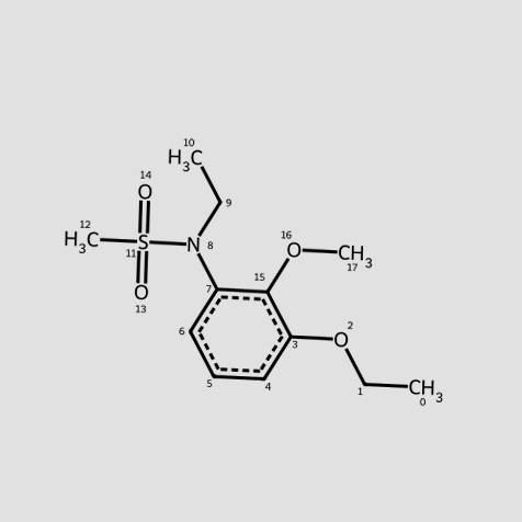 CCOc1cccc(N(CC)S(C)(=O)=O)c1OC